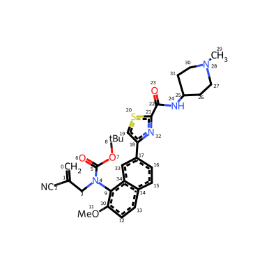 C=C(C#N)CN(C(=O)OC(C)(C)C)c1c(OC)ccc2ccc(-c3csc(C(=O)NC4CCN(C)CC4)n3)cc12